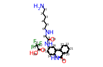 NCCCCCCNCC(=O)Nc1ccc2[nH]c(=O)c3ccccc3c2c1.O=C(O)C(F)(F)F